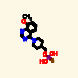 COc1cccc2c(N3CCC(COP(O)(O)=S)CC3)ncnc12